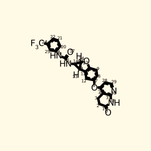 O=C1CCc2c(Oc3ccc4c(c3)[C@H]3C(NC(=O)Nc5cccc(C(F)(F)F)c5)[C@H]3O4)ccnc2N1